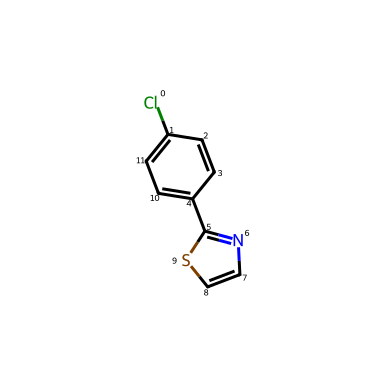 Clc1ccc(-c2nccs2)cc1